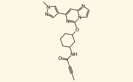 CC#CC(=O)NC1CCCC(Oc2nc(-c3cnn(C)c3)cc3nccn23)C1